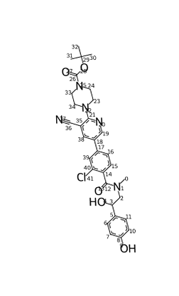 CN(CC(O)c1ccc(O)cc1)C(=O)c1ccc(-c2cnc(N3CCN(C(=O)OC(C)(C)C)CC3)c(C#N)c2)cc1Cl